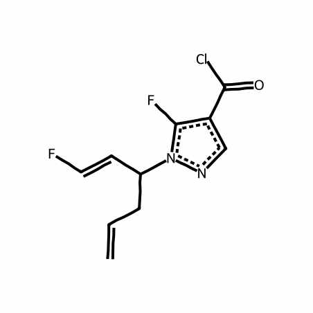 C=CCC(C=CF)n1ncc(C(=O)Cl)c1F